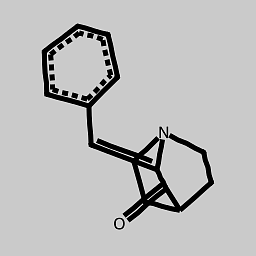 O=C1/C(=C/c2ccccc2)N2CCC1CC2